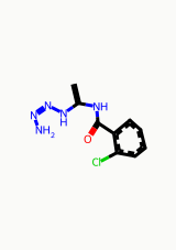 C=C(N/N=N\N)NC(=O)c1ccccc1Cl